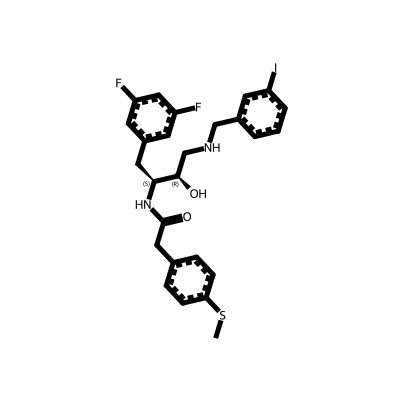 CSc1ccc(CC(=O)N[C@@H](Cc2cc(F)cc(F)c2)[C@H](O)CNCc2cccc(I)c2)cc1